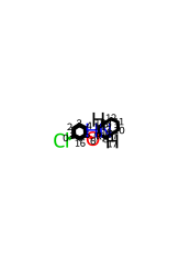 Clc1cccc(O[C@H]2C[C@H]3CCC[C@@H](C2)N3)c1